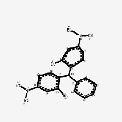 CCc1cc(N(CC)CC)ccc1C(c1ccccc1)c1ccc(N(CC)CC)cc1CC